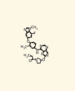 C=CC(=O)N1CC[C@@H](Oc2ncc3ncnc(Nc4ccc(Oc5cc(F)c6c(c5)ncn6C)c(C)c4)c3n2)C1